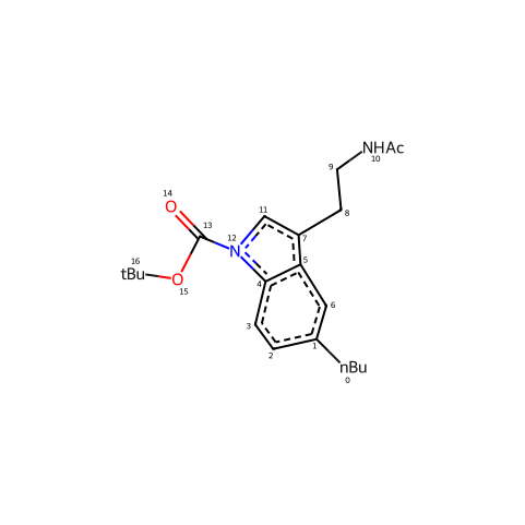 CCCCc1ccc2c(c1)c(CCNC(C)=O)cn2C(=O)OC(C)(C)C